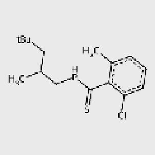 Cc1cccc(Cl)c1C(=S)PCC(C)CC(C)(C)C